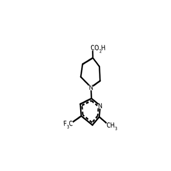 Cc1cc(C(F)(F)F)cc(N2CCC(C(=O)O)CC2)n1